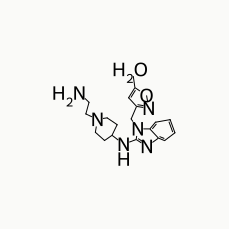 Cc1cc(Cn2c(NC3CCN(CCN)CC3)nc3ccccc32)no1.O